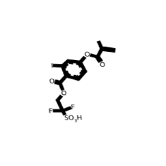 C=C(C)C(=O)Oc1ccc(C(=O)OCC(F)(F)S(=O)(=O)O)c(I)c1